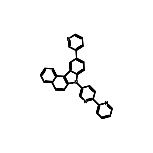 c1ccc(-c2ccc(-n3c4ccc(-c5cccnc5)cc4c4c5ccccc5ccc43)cn2)nc1